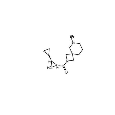 CC(C)N1CCCC2(CN(C(=O)[C@@H]3N[C@H]3C3CC3)C2)C1